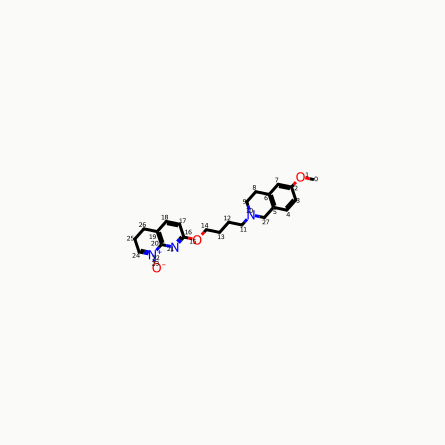 COc1ccc2c(c1)CCN(CCCCOc1ccc3c(n1)[N+]([O-])=CCC3)C2